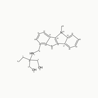 CCC(CO)(CO)NCc1cccc2c1sc1c3ccccc3n(C)c21